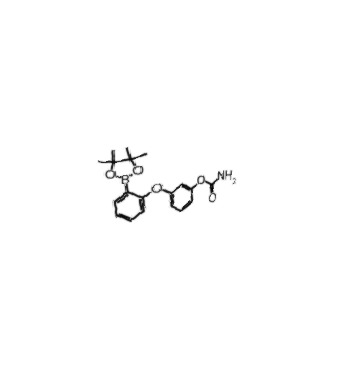 CC1(C)OB(c2ccccc2Oc2cccc(OC(N)=O)c2)OC1(C)C